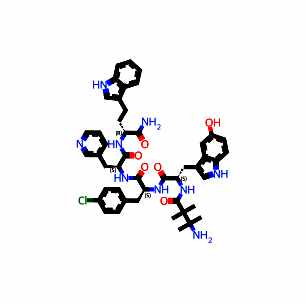 CC(C)(N)C(C)(C)C(=O)N[C@@H](Cc1c[nH]c2ccc(O)cc12)C(=O)N[C@@H](Cc1ccc(Cl)cc1)C(=O)N[C@@H](Cc1cccnc1)C(=O)N[C@H](CCc1c[nH]c2ccccc12)C(N)=O